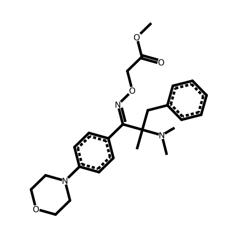 COC(=O)CON=C(c1ccc(N2CCOCC2)cc1)C(C)(Cc1ccccc1)N(C)C